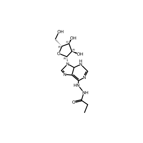 CCC(=O)NNC1=C2N=CN([C@@H]3O[C@H](CO)[C@@H](O)[C@H]3O)C2NC=N1